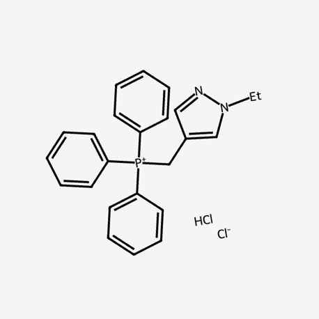 CCn1cc(C[P+](c2ccccc2)(c2ccccc2)c2ccccc2)cn1.Cl.[Cl-]